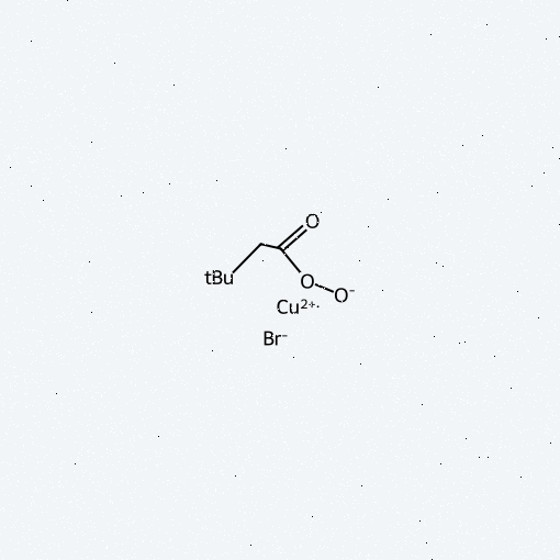 CC(C)(C)CC(=O)O[O-].[Br-].[Cu+2]